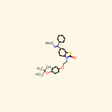 CON=C(c1ccccc1)c1ccc2c(c1)sc(=O)n2CCOc1ccc(OC(C)(C)C(=O)O)cc1